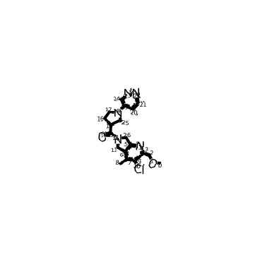 COCc1nc2c(c(C)c1Cl)CN(C(=O)C1CCN(c3ccnnc3)C1)C2